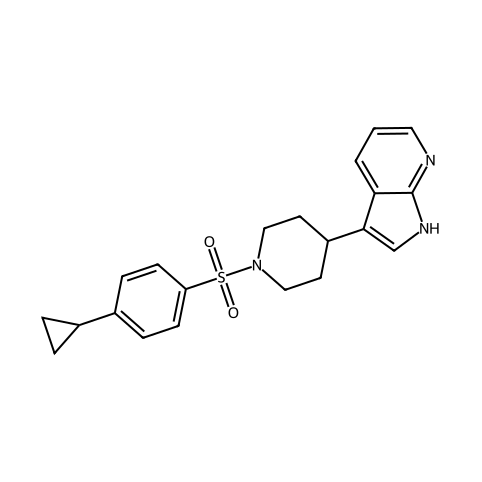 O=S(=O)(c1ccc(C2CC2)cc1)N1CCC(c2c[nH]c3ncccc23)CC1